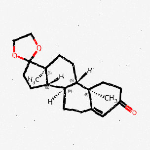 C[C@]12CCC(=O)C=C1CC[C@@H]1[C@@H]2CC[C@@]2(C)[C@H]1CCC21OCCO1